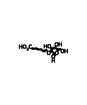 O=C(O)CCCCCCO[C@H]1[C@@H](O)[C@H](O)[C@@H](CO)O[C@@H]1O